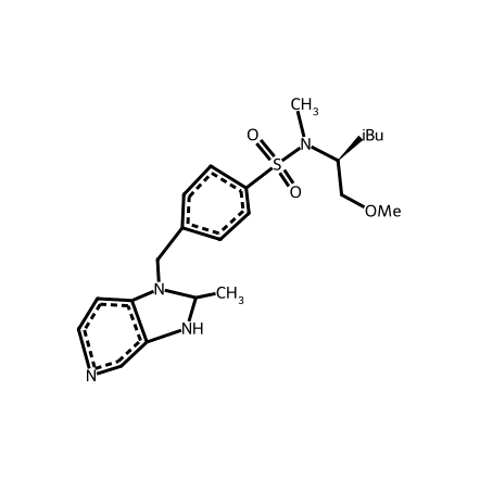 CCC(C)[C@@H](COC)N(C)S(=O)(=O)c1ccc(CN2c3ccncc3NC2C)cc1